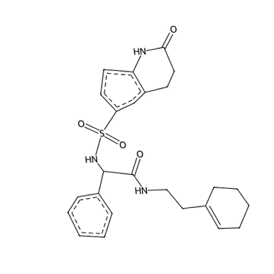 O=C1CCc2cc(S(=O)(=O)NC(C(=O)NCCC3=CCCCC3)c3ccccc3)ccc2N1